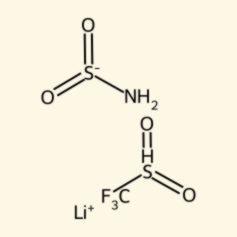 N[S-](=O)=O.O=[SH](=O)C(F)(F)F.[Li+]